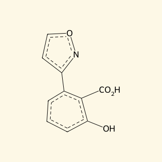 O=C(O)c1c(O)cccc1-c1ccon1